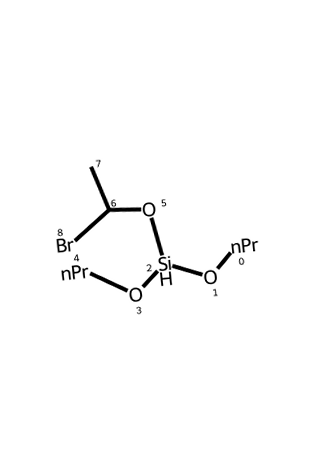 CCCO[SiH](OCCC)OC(C)Br